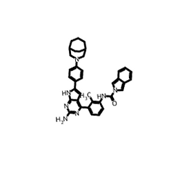 Cc1c(NC(=O)n2cc3ccccc3c2)cccc1-c1nc(N)nc2[nH]c(-c3ccc(N4CC5CCCC(CC5)C4)cc3)cc12